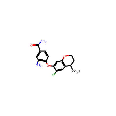 NC(=O)c1ccc(Oc2cc3c(cc2Cl)C(C(=O)O)CCO3)c(N)c1